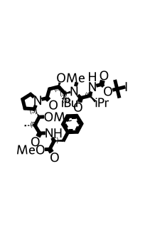 CC[C@H](C)[C@@H]([C@@H](CC(=O)N1CCC[C@H]1C(OC)[C@@H](C)C(=O)N[C@@H](Cc1ccccc1)C(=O)OC)OC)N(C)C(=O)[C@@H](NC(=O)OC(C)(C)I)C(C)C